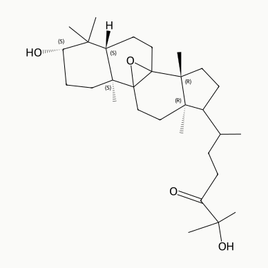 CC(CCC(=O)C(C)(C)O)C1CC[C@@]2(C)C34CC[C@H]5C(C)(C)[C@@H](O)CC[C@]5(C)C3(CC[C@]12C)O4